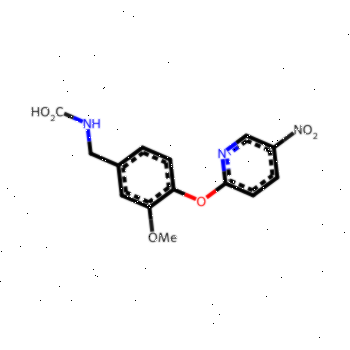 COc1cc(CNC(=O)O)ccc1Oc1ccc([N+](=O)[O-])cn1